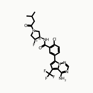 CC(C)CC(=O)N1C[C@H](F)[C@H](NC(=O)c2cc(-c3cc(C(F)(F)F)c4c(N)ncnn34)ccc2Cl)C1